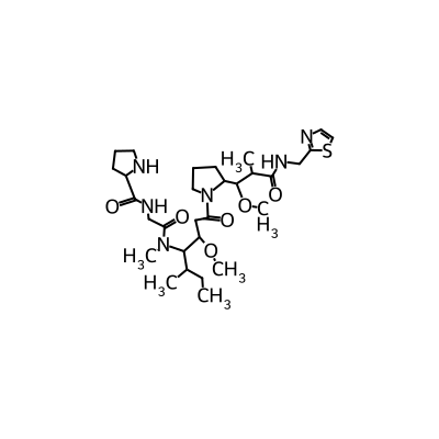 CCC(C)C(C(CC(=O)N1CCCC1C(OC)C(C)C(=O)NCc1nccs1)OC)N(C)C(=O)CNC(=O)C1CCCN1